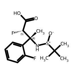 CC(C)(C)[S+]([O-])N[C@](C)(c1ccccc1F)[C@H](F)C(=O)O